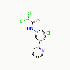 Cl.O=C(Nc1cccc(-c2ccccn2)c1)C(Cl)Cl